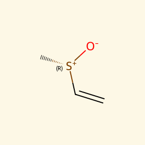 C=C[S@+](C)[O-]